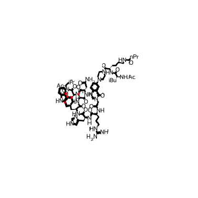 CCCC(=O)NCCCC[C@H](NC(=O)[C@@H](NC(C)=O)[C@@H](C)CC)C(=O)N1CCN(c2ccc3ncn(CC(=O)N[C@@H](CCCNC(=N)N)C(=O)N[C@@H](Cc4c[nH]cn4)C(=O)N[C@@H](Cc4ccc(O)cc4)C(=O)N[C@@H](CC(C)C)C(=O)N[C@@H](CC(N)=O)C(=O)N[C@@H](Cc4c[nH]c5ccccc45)C(=O)N[C@H](C(C)=O)C(C)C)c(=O)c3c2)CC1